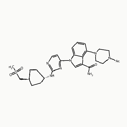 CC(=O)N1CCN(c2cccc3c2c(C(N)=O)cn3-c2ccnc(N[C@H]3CC[C@H](CS(C)(=O)=O)CC3)n2)CC1